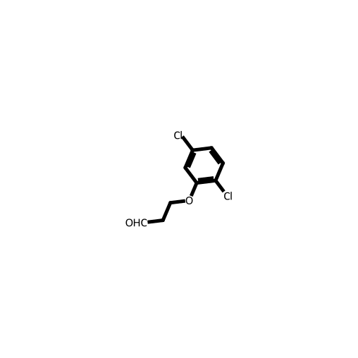 O=CCCOc1cc(Cl)ccc1Cl